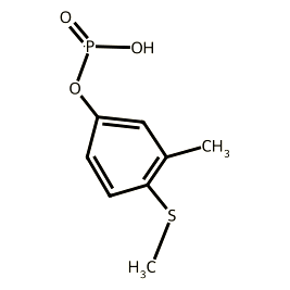 CSc1ccc(O[P](=O)O)cc1C